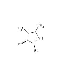 CCC1NC(C)C(C)[C@@H]1CC